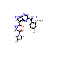 CNc1cc(Cl)ccc1C(=N)c1cnc2[nH]cc(C(=O)N[C@H](C)C(=O)N3CCC(F)C3)c2n1